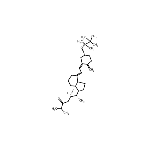 C=C1CC[C@H](O[Si](C)(C)C(C)(C)C)C/C1=C/C=C1CCC[C@@]2(C)C1CC[C@@H]2[C@H](C)CCC(=O)C(C)C